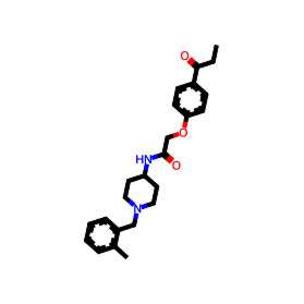 CCC(=O)c1ccc(OCC(=O)NC2CCN(Cc3ccccc3C)CC2)cc1